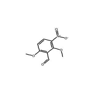 COc1ccc([N+](=O)[O-])c(OC)c1C=O